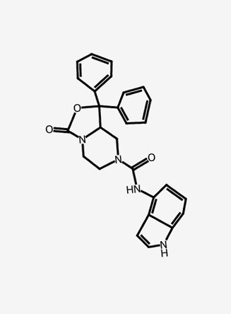 O=C(Nc1cccc2[nH]ccc12)N1CCN2C(=O)OC(c3ccccc3)(c3ccccc3)C2C1